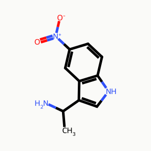 CC(N)c1c[nH]c2ccc([N+](=O)[O-])cc12